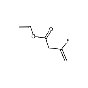 C=COC(=O)CC(=C)F